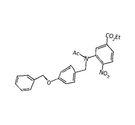 CCOC(=O)c1ccc([N+](=O)[O-])c(N(Cc2ccc(OCc3ccccc3)cc2)C(C)=O)c1